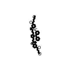 COCCCC(=O)c1ccc2c(c1)C(C)(C)C(/C=C/C1=C(N(c3ccccc3)c3ccccc3)C(=C/C=C3/N(C)c4ccc(C(=O)CCCOC)cc4C3(C)C)/CC1)=[N+]2C